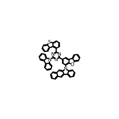 c1ccc2cc3c(cc2c1)c1ccccc1n3-c1cc(-c2nc(-c3cccc4sc5ccccc5c34)nc(-n3c4ccccc4c4ccccc43)n2)cc2c1oc1ccccc12